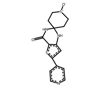 O=C1NC2(CC[S+]([O-])CC2)Nc2cc(-c3ccncc3)sc21